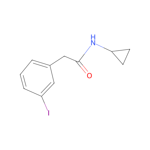 O=C(Cc1cccc(I)c1)NC1CC1